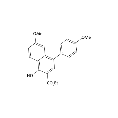 CCOC(=O)c1cc(-c2ccc(OC)cc2)c2cc(OC)ccc2c1O